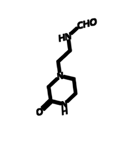 O=CNCCN1CCNC(=O)C1